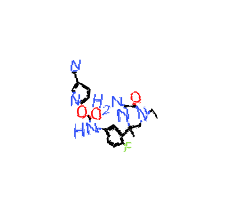 CCN1CC(C)(c2cc(NC(=O)Oc3ccc(C#N)cn3)ccc2F)N=C(N)C1=O